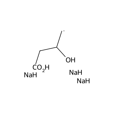 [CH2]C(O)CC(=O)O.[NaH].[NaH].[NaH]